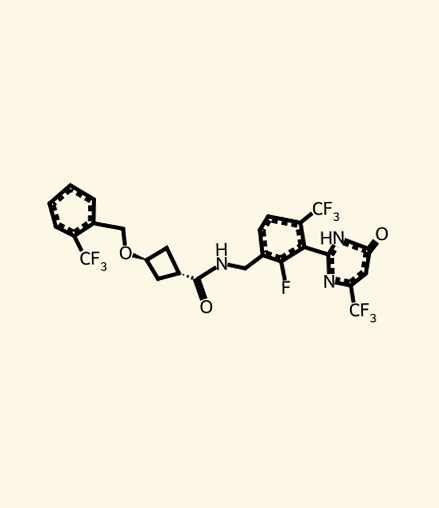 O=c1cc(C(F)(F)F)nc(-c2c(C(F)(F)F)ccc(CNC(=O)[C@H]3C[C@H](OCc4ccccc4C(F)(F)F)C3)c2F)[nH]1